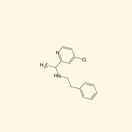 CC(NCCc1ccccc1)c1cc(Cl)ccn1